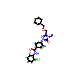 CCn1c(COCc2ccccc2)nn(-c2cc(F)c(C(=O)Nc3c(F)cccc3Cl)cc2F)c1=O